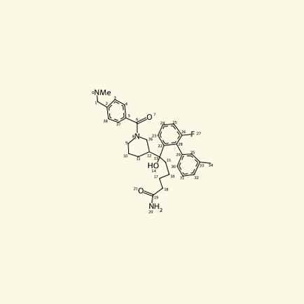 CNCc1ccc(C(=O)N2CCCC(C(O)(CCCCC(N)=O)c3cccc(F)c3-c3cccc(C)c3)C2)cc1